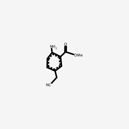 COC(=O)c1cc(CC#N)ccc1N